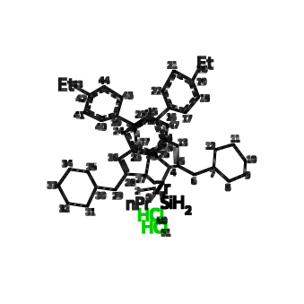 CC[CH2][Zr]([CH3])(=[SiH2])([CH]1C(CC2CCCCC2)=Cc2c(-c3ccc(CC)cc3)cccc21)[CH]1C(CC2CCCCC2)=Cc2c(-c3ccc(CC)cc3)cccc21.Cl.Cl